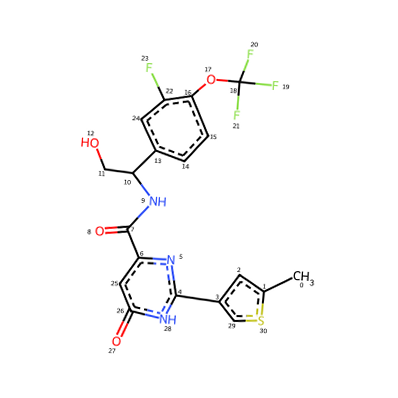 Cc1cc(-c2nc(C(=O)NC(CO)c3ccc(OC(F)(F)F)c(F)c3)cc(=O)[nH]2)cs1